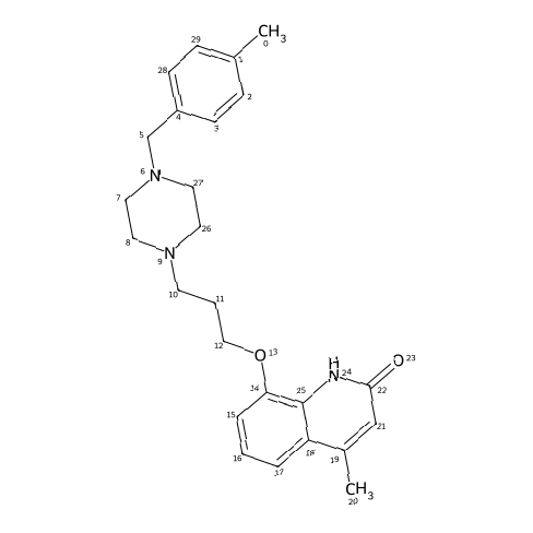 Cc1ccc(CN2CCN(CCCOc3cccc4c(C)cc(=O)[nH]c34)CC2)cc1